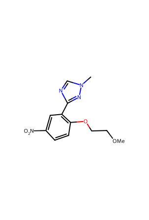 COCCOc1ccc([N+](=O)[O-])cc1-c1ncn(C)n1